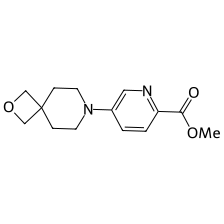 COC(=O)c1ccc(N2CCC3(CC2)COC3)cn1